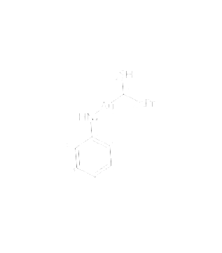 CCC[CH](S)[Au][NH]c1ccccc1